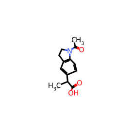 CC(=O)N1CCc2cc(C(C)C(=O)O)ccc21